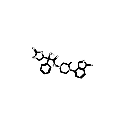 CC(C(=O)NN1CCN(c2cccc3c2C=NC3=O)C(F)C1)(c1ccccc1)C1CNC(=O)O1